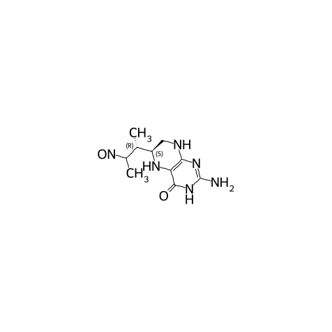 CC(N=O)[C@H](C)[C@H]1CNc2nc(N)[nH]c(=O)c2N1